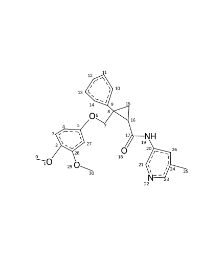 COc1ccc(OCC2(c3ccccc3)CC2C(=O)Nc2cncc(C)c2)cc1OC